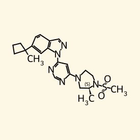 C[C@H]1CN(c2cc(-n3ncc4ccc(C5(C)CCC5)cc43)ncn2)CCN1S(C)(=O)=O